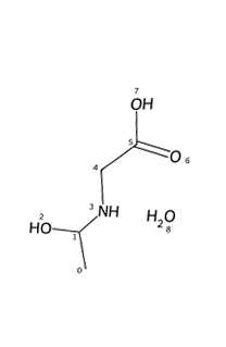 CC(O)NCC(=O)O.O